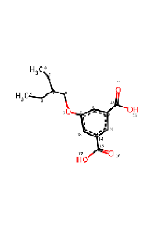 CCC(CC)COc1cc(C(=O)O)cc(C(=O)O)c1